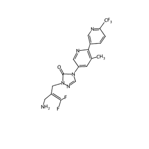 Cc1cc(-n2cnn(CC(CN)=C(F)F)c2=O)cnc1-c1ccc(C(F)(F)F)nc1